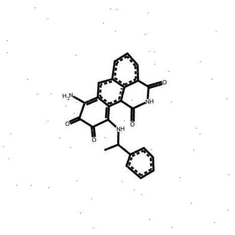 CC(NC1=c2c3c4c(cccc4cc2=C(N)C(=O)C1=O)C(=O)NC3=O)c1ccccc1